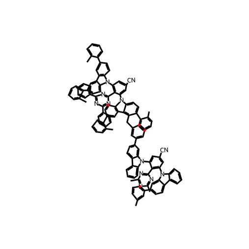 Cc1cccc(-c2ccc3c4ccccc4n(-c4cc(C#N)cc(-n5c6ccccc6c6ccc(-c7cccc(Cc8c(-c9ccccc9C)ccc9c8c8cc(-c%10ccccc%10C)ccc8n9-c8cc(C#N)cc(-n9c%10ccc(-c%11ccccc%11C)cc%10c%10cc(-c%11ccccc%11C)ccc%109)c8-c8nc(-c9ccccc9)nc(-c9ccccc9)n8)c7)cc65)c4-c4nc(C)nc(C)n4)c3c2)c1